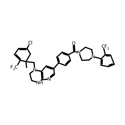 CC1(CN2CCNc3ncc(-c4ccc(C(=O)N5CCN(c6ccccc6C(F)(F)F)CC5)cc4)cc32)CC(Cl)=CC=C1C(F)(F)F